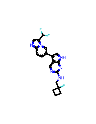 FC(F)c1cnc2ccc(-c3c[nH]c4nc(NCC5(F)CCC5)ncc34)cn12